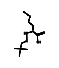 CSCC[C@H](NOCC(C)(C)C)C(=O)O